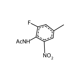 CC(=O)Nc1c(F)cc(C)cc1[N+](=O)[O-]